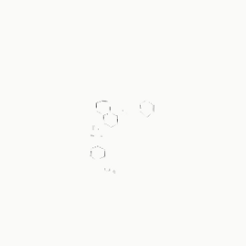 COc1ccc(S(=O)(=O)Nc2ccc(N(Cc3ccc(C)cc3)C(C)CC(=O)O)c3ccccc23)cc1